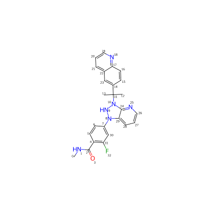 CNC(=O)c1ccc(N2NN(C(C)(C)c3ccc4ncccc4c3)c3ncccc32)cc1F